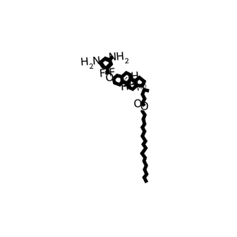 CCCCCCCCCCCCCCCCCCOC(=O)CCC(C)[C@H]1CC[C@H]2[C@@H]3CCC4CC(OC(F)(F)c5cc(N)cc(N)c5)CC[C@]4(C)[C@H]3CC[C@]12C